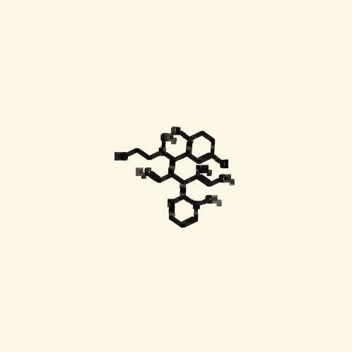 C=CC(/C(C(N)=CC)=C1\N=CC=CN1C)=C(/C1=C(CC)CCC(Cl)=C1)N(C)CCO